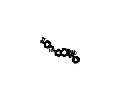 CC(C)Oc1ccc(CNc2ccc3c(c2)CC2CCC(C3)C2NS(=O)(=O)c2ccccc2)cc1